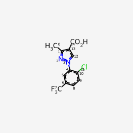 Cc1nn(-c2cc(C(F)(F)F)ccc2Cl)cc1C(=O)O